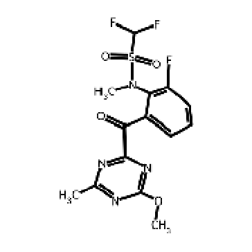 COc1nc(C)nc(C(=O)c2cccc(F)c2N(C)S(=O)(=O)C(F)F)n1